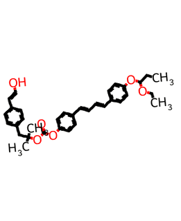 CCOC(CC)Oc1ccc(C=CC=Cc2ccc(OC(=O)OC(C)(C)Cc3ccc(C=CO)cc3)cc2)cc1